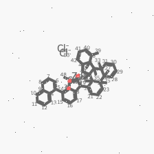 CCCC1=Cc2c(-c3cccc4ccccc34)cccc2C1C1=CC=CC2(C)C3(C)C=CC=CC3(C)C3(C)C4(C)C(C)=CC=CC4[CH]([Zr+2][SiH](C)C)C3(C)C12C.[Cl-].[Cl-]